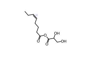 CC/C=C\CCCC(=O)OC(=O)C(O)CO